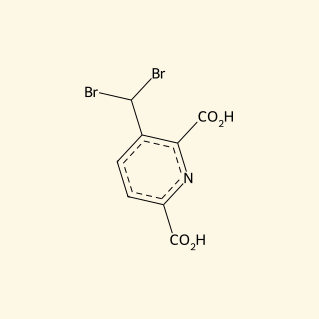 O=C(O)c1ccc(C(Br)Br)c(C(=O)O)n1